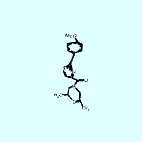 COc1ccc(-c2nc(C(=O)N3CC(C)OC(C)C3)cs2)cc1